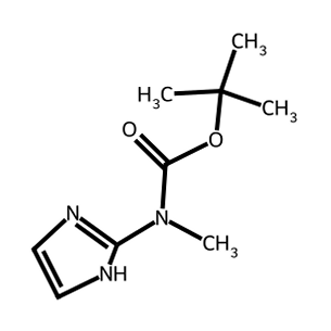 CN(C(=O)OC(C)(C)C)c1ncc[nH]1